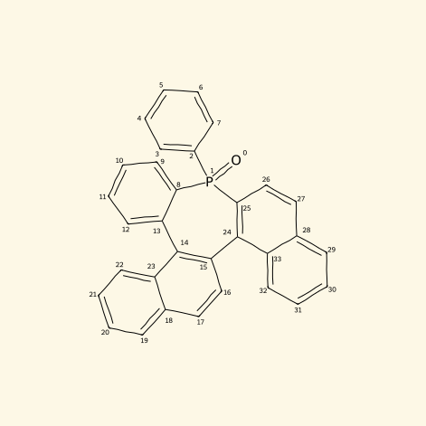 O=P1(c2ccccc2)c2ccccc2-c2c(ccc3ccccc23)-c2c1ccc1ccccc21